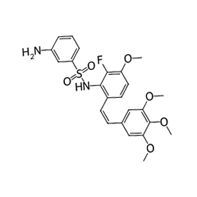 COc1ccc(/C=C\c2cc(OC)c(OC)c(OC)c2)c(NS(=O)(=O)c2cccc(N)c2)c1F